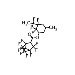 CC1CC(OC(=O)C2C(F)(F)C3(F)C(F)(F)C(F)(F)C2(F)C3(F)F)C(F)(F)C(F)(C(C)(F)F)C1